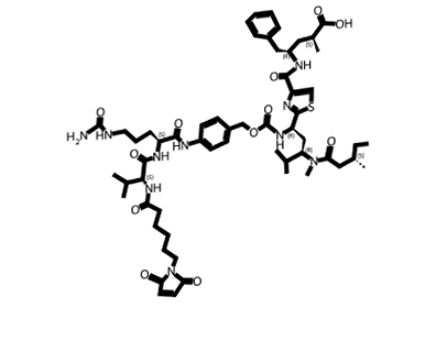 CC[C@H](C)CC(=O)N(C)[C@H](C[C@@H](NC(=O)OCc1ccc(NC(=O)[C@H](CCCNC(N)=O)NC(=O)[C@@H](NC(=O)CCCCCN2C(=O)C=CC2=O)C(C)C)cc1)c1nc(C(=O)N[C@@H](Cc2ccccc2)C[C@H](C)C(=O)O)cs1)C(C)C